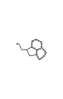 CCC(C)OC1Cc2cccc3cccc1c23